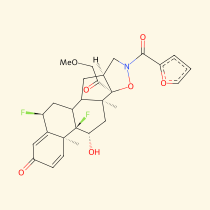 COCC(=O)[C@@]12ON(C(=O)c3ccco3)C[C@@H]1CC1C3C[C@H](F)C4=CC(=O)C=C[C@]4(C)[C@@]3(F)[C@@H](O)C[C@@]12C